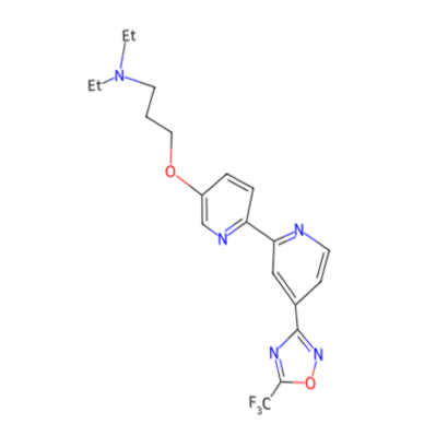 CCN(CC)CCCOc1ccc(-c2cc(-c3noc(C(F)(F)F)n3)ccn2)nc1